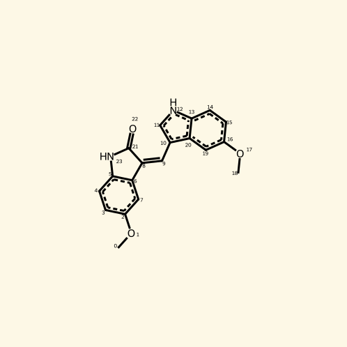 COc1ccc2c(c1)C(=Cc1c[nH]c3ccc(OC)cc13)C(=O)N2